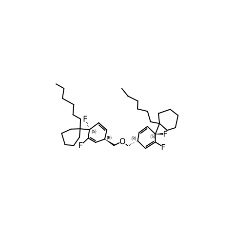 CCCCCCC1([C@@]2(F)C=C[C@@H](COC[C@@H]3C=C[C@](F)(C4(CCCCCC)CCCCC4)C(F)=C3)C=C2F)CCCCC1